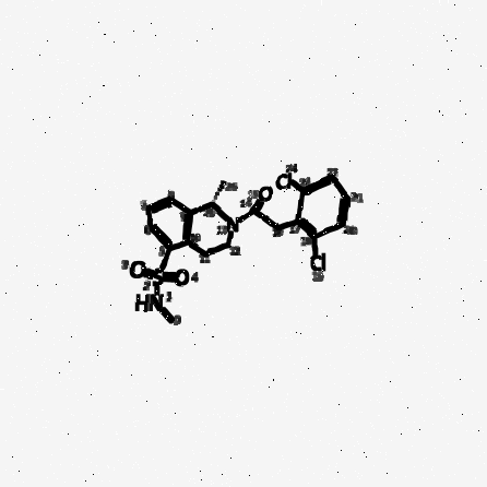 CNS(=O)(=O)c1cccc2c1CCN(C(=O)Cc1c(Cl)cccc1Cl)[C@H]2C